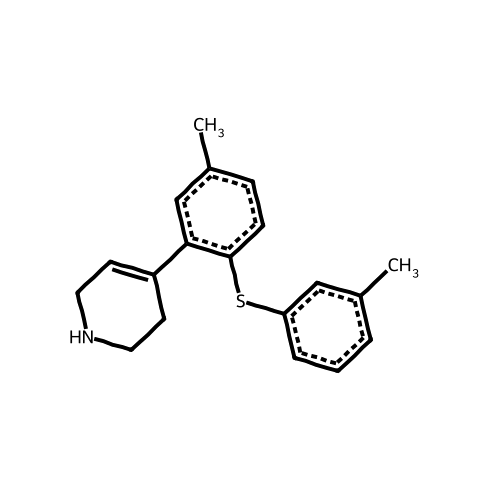 Cc1cccc(Sc2ccc(C)cc2C2=CCNCC2)c1